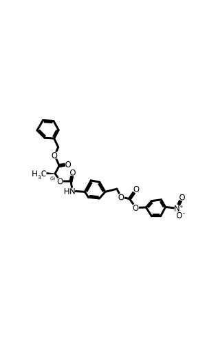 C[C@H](OC(=O)Nc1ccc(COC(=O)Oc2ccc([N+](=O)[O-])cc2)cc1)C(=O)OCc1ccccc1